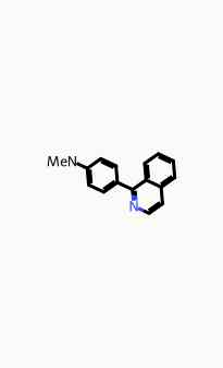 CNc1ccc(-c2nccc3ccccc23)cc1